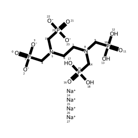 O=P([O-])([O-])CN(CCN(CP(=O)(O)O)CP(=O)(O)O)CP(=O)([O-])[O-].[Na+].[Na+].[Na+].[Na+]